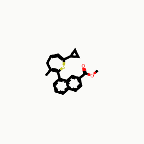 COC(=O)c1ccc2cccc(C3=C(C)CC=C=C(C4CC4)S3)c2c1